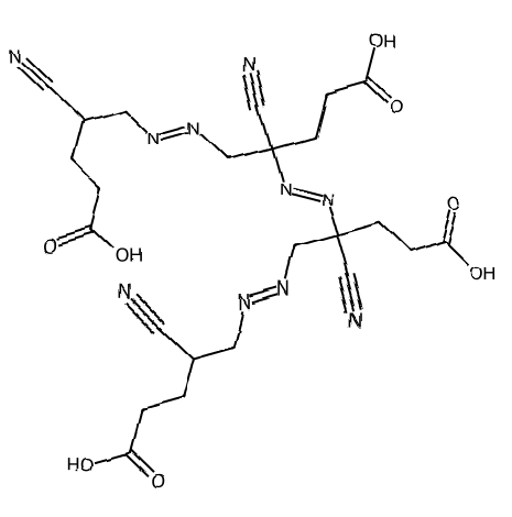 N#CC(CCC(=O)O)CN=NCC(C#N)(CCC(=O)O)N=NC(C#N)(CCC(=O)O)CN=NCC(C#N)CCC(=O)O